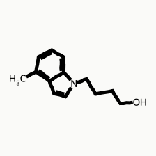 Cc1cccc2c1ccn2CCCCO